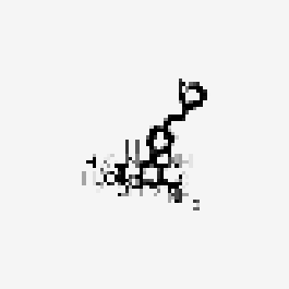 CC(Nc1ncc(C(N)=O)c2[nH]c3cc(CCc4cccnc4)ccc3c12)C(C)(C)O